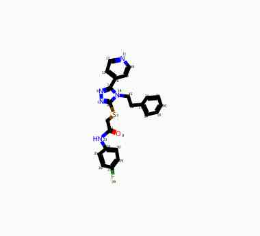 O=C(CSc1nnc(-c2ccncc2)n1CCc1ccccc1)Nc1ccc(F)cc1